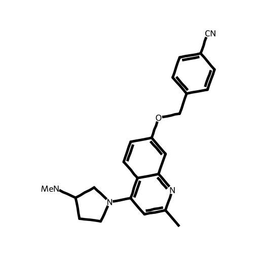 CNC1CCN(c2cc(C)nc3cc(OCc4ccc(C#N)cc4)ccc23)C1